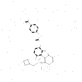 Cc1ccc(OC(=O)Nc2ccc(C(=O)OC(C)(C)C)cc2)c2c1[C@]13CCN(CC4CCC4)[C@H](C)[C@]1(O)CC[C@H](O)[C@@H]3O2